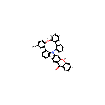 CC(C)c1ccc2c(c1)-c1ccccc1N(c1ccc3c(=O)c4ccccc4oc3c1)c1ccccc1-c1ccccc1O2